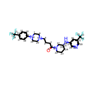 O=C(CCCN1CCN(c2ccc(C(F)(F)F)cc2)CC1)N1CCC[C@H](Nc2cncc(C(F)(F)F)c2)C1